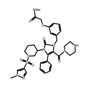 CNC(=O)COc1cccc(Cn2c(C(=O)N3CCNCC3)c(-c3ccccc3)n(C3CCCN(S(=O)(=O)c4cnn(C)c4)C3)c2=O)c1